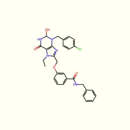 CCn1c(COc2cccc(C(=O)NCc3ccccc3)c2)nc2c1C(=O)NC(O)N2Cc1ccc(Cl)cc1